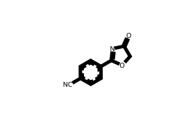 N#Cc1ccc(C2=NC(=O)CO2)cc1